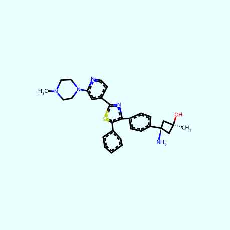 CN1CCN(c2cc(-c3nc(-c4ccc([C@]5(N)C[C@@](C)(O)C5)cc4)c(-c4ccccc4)s3)ccn2)CC1